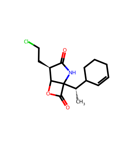 C[C@@H](C1C=CCCC1)C12NC(=O)[C@H](CCCl)C1OC2=O